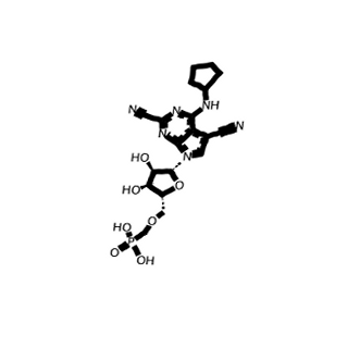 N#Cc1nc(NC2CCCC2)c2c(C#N)cn([C@@H]3O[C@H](COCP(=O)(O)O)[C@@H](O)[C@H]3O)c2n1